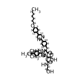 CCCCCCCOc1ccc(-c2cnc(-c3ccc(C[C@H](NC(=O)c4ccc(C(C)(C)C)cc4)C(=O)N[C@@H](CC(=O)NCCO)C(=O)O)cc3)nc2)cc1